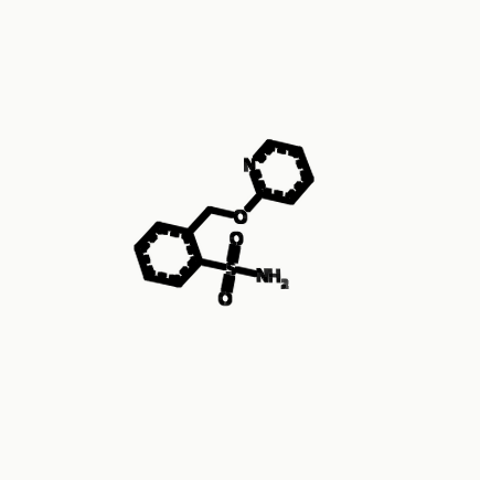 NS(=O)(=O)c1ccccc1COc1ccccn1